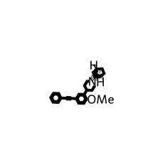 COc1ccc(C#Cc2ccccc2)cc1C1CCN([C@@H]2C[C@@H]3CC[C@H]2C3)CC1